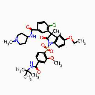 CCOc1ccc2c(c1)C(C)(c1cc(C(=O)NC3CCN(C)CC3)ccc1Cl)C(=O)N2S(=O)(=O)c1ccc(C(=O)NC(C)(C)C)cc1OC